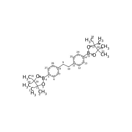 CC1(C)OB(c2ccc(CCc3ccc(B4OC(C)(C)C(C)(C)O4)cc3)cc2)OC1(C)C